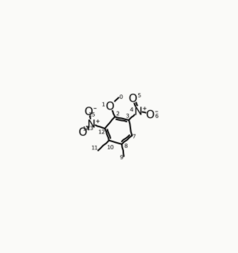 COc1c([N+](=O)[O-])cc(C)c(C)c1[N+](=O)[O-]